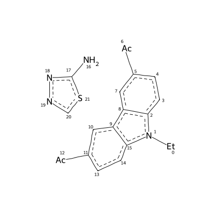 CCn1c2ccc(C(C)=O)cc2c2cc(C(C)=O)ccc21.Nc1nncs1